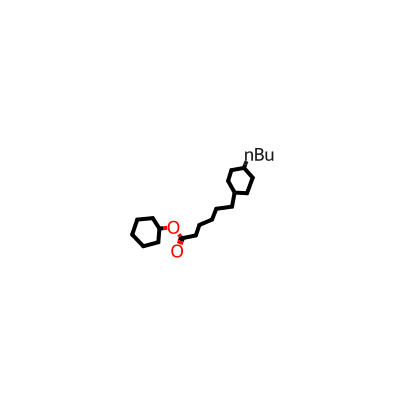 CCCCC1CCC(CCCCCC(=O)OC2CCCCC2)CC1